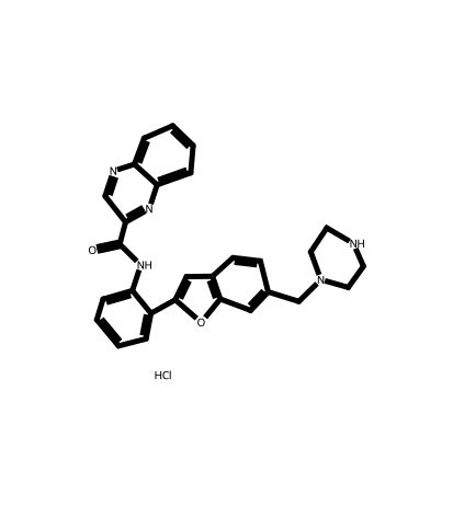 Cl.O=C(Nc1ccccc1-c1cc2ccc(CN3CCNCC3)cc2o1)c1cnc2ccccc2n1